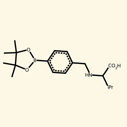 CC(C)C(NCc1ccc(B2OC(C)(C)C(C)(C)O2)cc1)C(=O)O